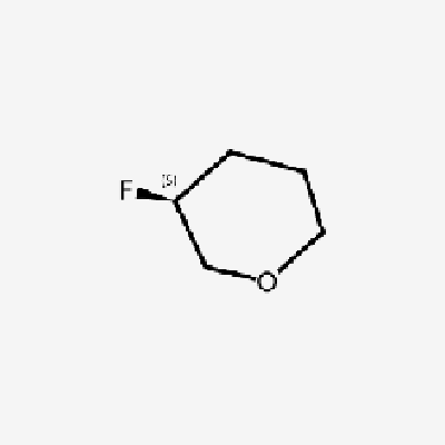 F[C@H]1CCCOC1